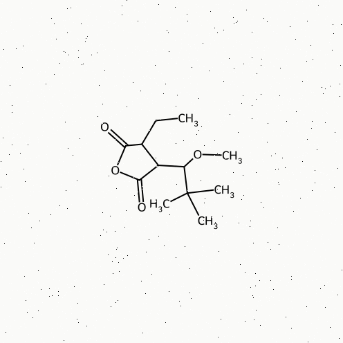 CCC1C(=O)OC(=O)C1C(OC)C(C)(C)C